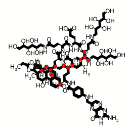 CCC1O[C@@H]2C[C@H]3[C@@H]4CCC5=CC(=O)C=C[C@]5(C)[C@H]4[C@@H](O)C[C@]3(C)[C@]2(C(=O)COC(=O)OCCSSC[C@@H](C)NC(=O)[C@H](CCC(=O)NC[C@H](O)[C@@H](O)[C@H](O)[C@H](O)CO)NC(=O)[C@H](CCC(=O)O)NC(=O)[C@H](CCC(=O)NC[C@H](O)[C@@H](O)[C@H](O)[C@H](O)CO)NC(=O)[C@H](CCC(=O)O)NC(=O)[C@H](CCC(=O)NC[C@H](O)[C@@H](O)[C@H](O)[C@H](O)CO)NC(=O)CC[C@@H](C)NC(=O)c2ccc(NCc3cnc4nc(N)[nH]c(=O)c4n3)cc2)O1